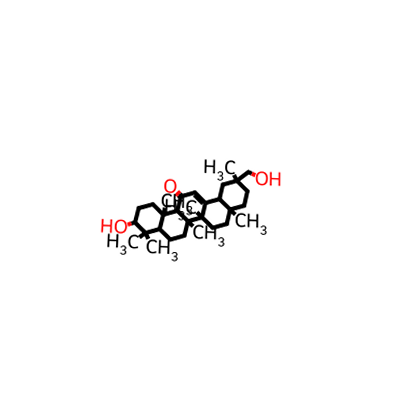 CC1(CO)CCC2(C)CCC3(C)C(=CC(=O)C4C5(C)CCC(O)C(C)(C)C5CCC43C)C2C1